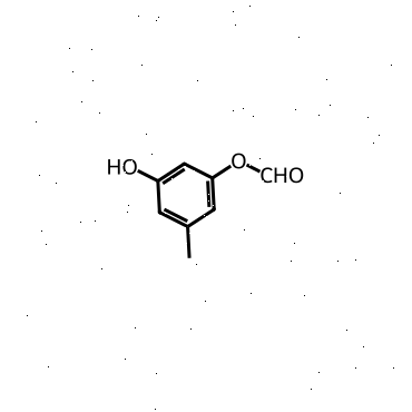 Cc1cc(O)cc(OC=O)c1